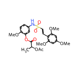 COc1cc(OC)c(C=CS(=O)(=O)Nc2ccc(OC)c(OC(=O)C(C)OC(C)=O)c2)c(OC)c1